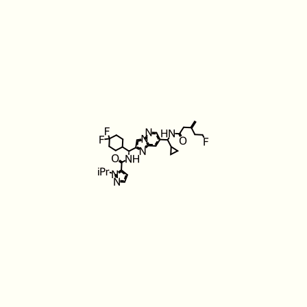 C=C(CCF)CC(=O)NC(c1cnn2cc([C@@H](NC(=O)c3ccnn3C(C)C)C3CCC(F)(F)CC3)nc2c1)C1CC1